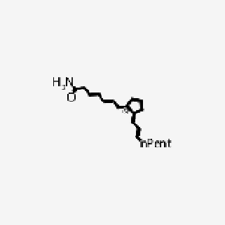 CCCCCC=CC=C1CC=C[C@@H]1CC=CCCCC(N)=O